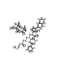 CCC(=O)CCCCCC(C(=O)N1CCN(c2ccccc2)CC1)c1ncc(-c2ccc3ccccc3c2)[nH]1.O=C(O)C(F)(F)F.O=C(O)C(F)(F)F